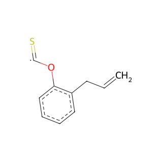 C=CCc1ccccc1O[C]=S